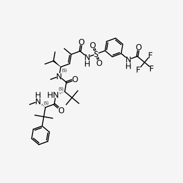 CN[C@H](C(=O)N[C@H](C(=O)N(C)[C@H](C=C(C)C(=O)NS(=O)(=O)c1cccc(NC(=O)C(F)(F)F)c1)C(C)C)C(C)(C)C)C(C)(C)c1ccccc1